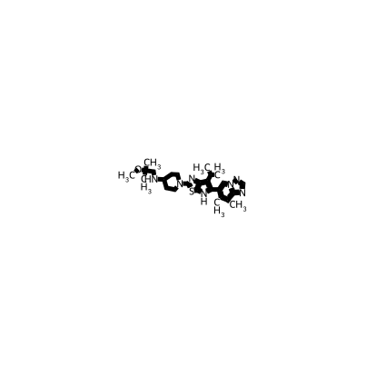 COC(C)(C)CNC1CCN(c2nc3c(C(C)C)c(-c4cn5ncnc5c(C)c4C)[nH]c3s2)CC1